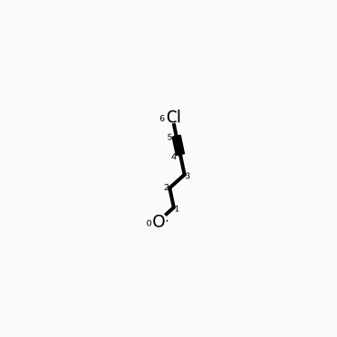 [O]CCCC#CCl